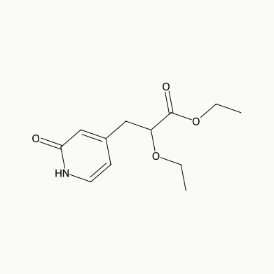 CCOC(=O)C(Cc1cc[nH]c(=O)c1)OCC